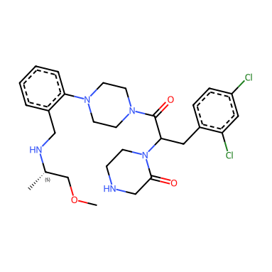 COC[C@H](C)NCc1ccccc1N1CCN(C(=O)C(Cc2ccc(Cl)cc2Cl)N2CCNCC2=O)CC1